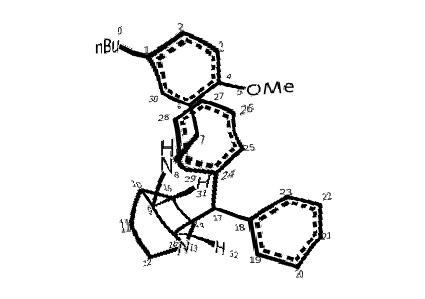 CCCCc1ccc(OC)c(CN[C@H]2C3CCN(CC3)[C@H]2C(c2ccccc2)c2ccccc2)c1